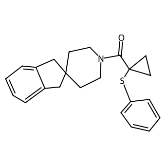 O=C(N1CCC2(CC1)Cc1ccccc1C2)C1(Sc2ccccc2)CC1